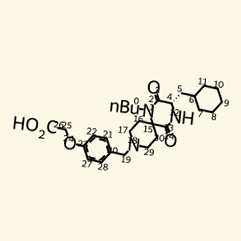 CCCCN1C(=O)[C@H](CC2CCCCC2)NC(=O)C12CCN(Cc1ccc(OCC(=O)O)cc1)CC2